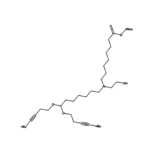 CCCCC#CCCOC(CCCCCCN(CCO)CCCCCCCC(=O)OCCCCCCCCC)OCCC#CCCCC